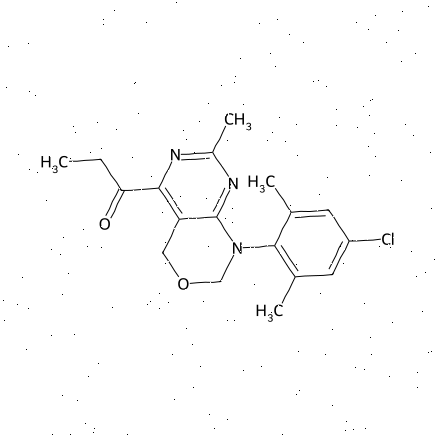 CCC(=O)c1nc(C)nc2c1COCN2c1c(C)cc(Cl)cc1C